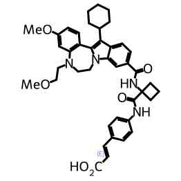 COCCN1CCn2c(c(C3CCCCC3)c3ccc(C(=O)NC4(C(=O)Nc5ccc(/C=C/C(=O)O)cc5)CCC4)cc32)-c2ccc(OC)cc21